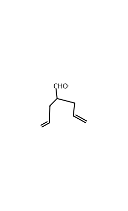 C=CCC([C]=O)CC=C